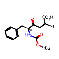 CCC(CC(=O)[C@H](Cc1ccccc1)NC(=O)OC(C)(C)C)C(=O)O